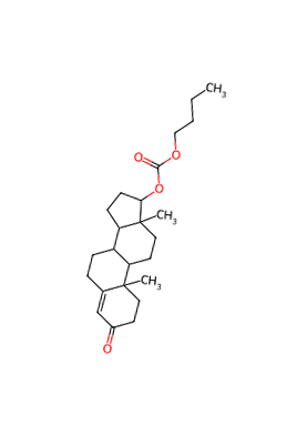 CCCCOC(=O)OC1CCC2C3CCC4=CC(=O)CCC4(C)C3CCC12C